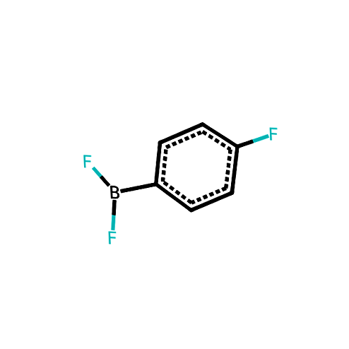 FB(F)c1ccc(F)cc1